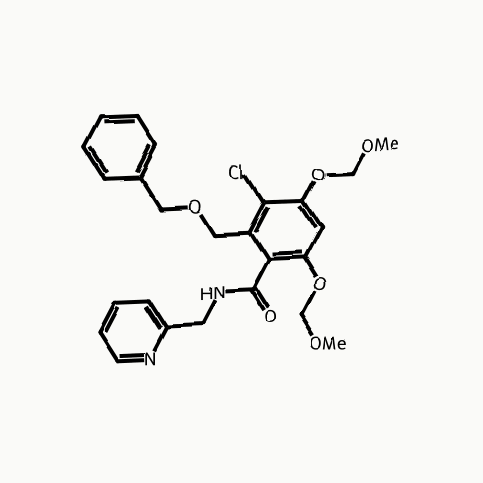 COCOc1cc(OCOC)c(C(=O)NCc2ccccn2)c(COCc2ccccc2)c1Cl